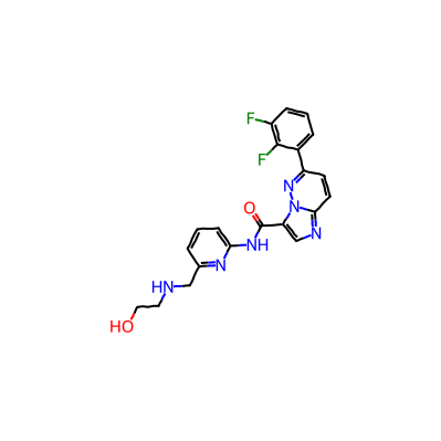 O=C(Nc1cccc(CNCCO)n1)c1cnc2ccc(-c3cccc(F)c3F)nn12